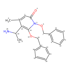 Cc1cc(=O)n(OCc2ccccc2)c(OCc2ccccc2)c1C(C)N